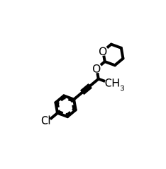 CC(C#Cc1ccc(Cl)cc1)OC1CCCCO1